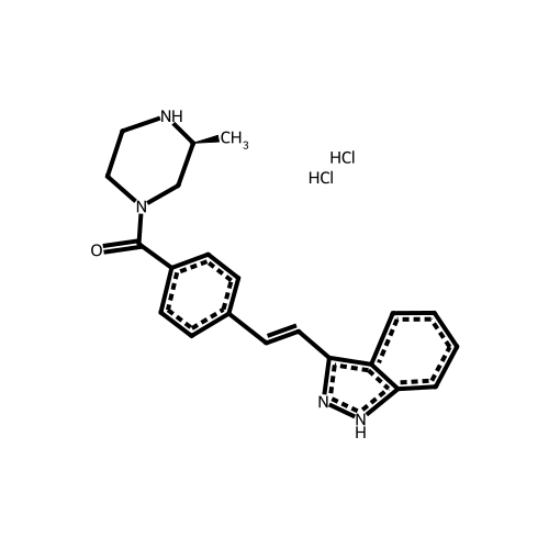 C[C@H]1CN(C(=O)c2ccc(/C=C/c3n[nH]c4ccccc34)cc2)CCN1.Cl.Cl